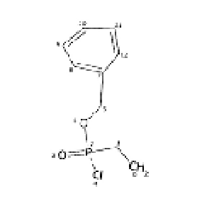 CCP(=O)(Cl)OCc1ccccc1